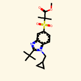 COC(=O)C(C)(C)S(=O)(=O)c1ccc2c(c1)nc(C(C)(C)C)n2CC1CC1